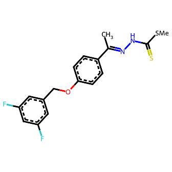 CSC(=S)N/N=C(\C)c1ccc(OCc2cc(F)cc(F)c2)cc1